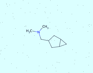 CN(C)CC1CC2CC2C1